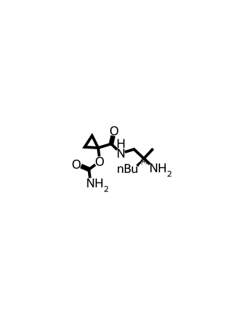 CCCC[C@@](C)(N)CNC(=O)C1(OC(N)=O)CC1